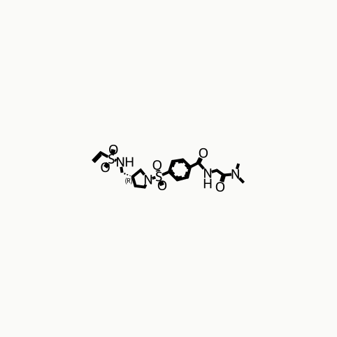 C=CS(=O)(=O)NC[C@H]1CCN(S(=O)(=O)c2ccc(C(=O)NCC(=O)N(C)C)cc2)C1